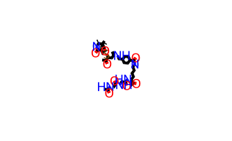 C=C(CC(SCCC(=O)N(C)[C@@H](C)C(C)=C=O)C(C)=O)NCC1CCC(C(=O)N(C)CCCCC(NC(=O)CNC(=O)CNC(C)=O)C(C)=O)CC1